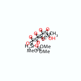 CO[Si](OC)(OC)O[SiH2][Si](=O)[Si](=O)[Si](=O)[Si](=O)[Si](=O)[Si](=O)[Si](=O)[Si](C)(C)O